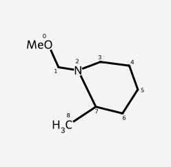 COCN1CCCCC1C